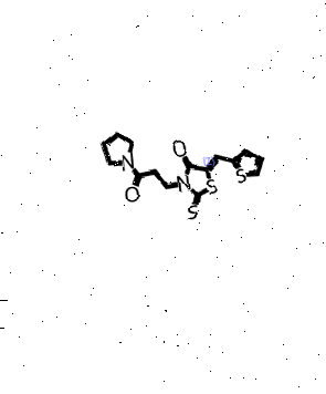 O=C(CCN1C(=O)/C(=C/c2cccs2)SC1=S)N1CCCC1